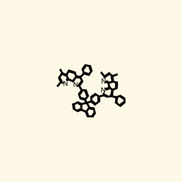 Cc1cc(C)c2ccc3c(-c4ccccc4)cc(-c4ccc(C5(c6ccc(-c7cc(-c8ccccc8)c8ccc9c(C)cc(C)nc9c8n7)cc6)c6ccccc6-c6ccccc65)cc4)nc3c2n1